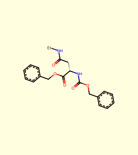 CCNC(=O)C[C@H](NC(=O)OCc1ccccc1)C(=O)OCc1ccccc1